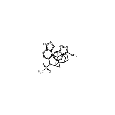 CS(=O)(=O)N1c2ccc3[nH]ncc3c2[C@H]2C3CCC(C3)C23C[C@@]13c1ccc2[nH]nc(N)c2c1